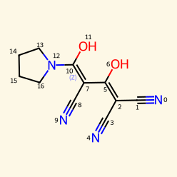 N#CC(C#N)=C(O)/C(C#N)=C(\O)N1CCCC1